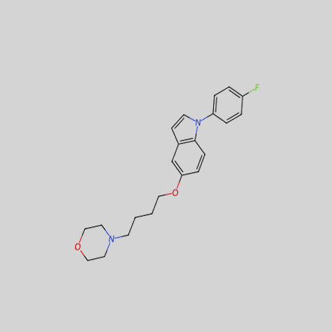 Fc1ccc(-n2ccc3cc(OCCCCN4CCOCC4)ccc32)cc1